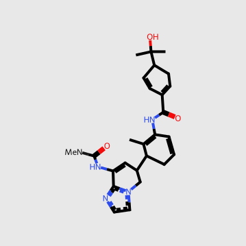 CNC(=O)NC1=CC(C2CC=CC(NC(=O)C3=CCC(C(C)(C)O)C=C3)=C2C)Cn2ccnc21